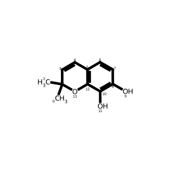 CC1(C)C=Cc2ccc(O)c(O)c2O1